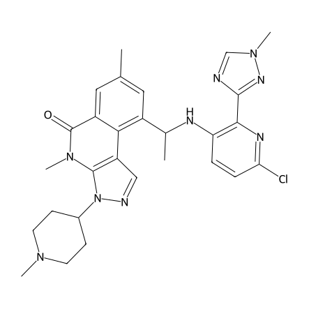 Cc1cc(C(C)Nc2ccc(Cl)nc2-c2ncn(C)n2)c2c(c1)c(=O)n(C)c1c2cnn1C1CCN(C)CC1